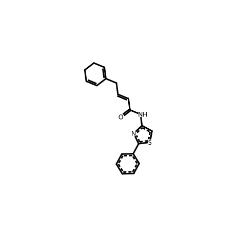 O=C(/C=C/CC1=CCCC=C1)Nc1csc(-c2ccccc2)n1